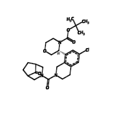 CC(C)(C)OC(=O)N1CCOC[C@H]1c1cc(Cl)cc2c1CN(C(=O)N1CC3CCC(C1)C3=O)CC2